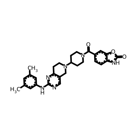 Cc1cc(C)cc(Nc2ncc3c(n2)CCN(C2CCN(C(=O)c4ccc5[nH]c(=O)oc5c4)CC2)C3)c1